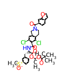 CC(OC(=O)[C@H](Cc1cccc([S+](C)[O-])c1)NC(=O)c1c(Cl)cc2c(c1Cl)CCN(C(=O)c1ccc3ccoc3c1)C2)OC(=O)C(C)(C)C